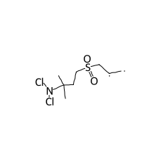 [CH2][CH]CS(=O)(=O)CCC(C)(C)N(Cl)Cl